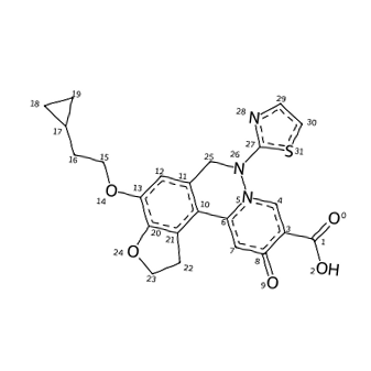 O=C(O)c1cn2c(cc1=O)-c1c(cc(OCCC3CC3)c3c1CCO3)CN2c1nccs1